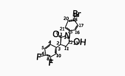 O=C1C(c2ccc(F)c(F)c2)CC(O)N1c1ccc(Br)cc1